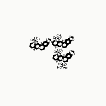 CS(=O)(=O)N1CCC[C@@H]2CN3CCc4cc5c(cc4[C@@H]3C[C@@H]21)OCO5.CS(=O)(=O)N1CCC[C@@H]2CN3CCc4cc5c(cc4[C@@H]3C[C@@H]21)OCO5.CS(=O)(=O)N1CCC[C@@H]2CN3CCc4cc5c(cc4[C@@H]3C[C@@H]21)OCO5.O=P(O)(O)O